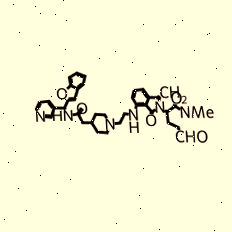 C=C1c2cccc(NCCN3CCC(CC(=O)NC(c4cccnc4)c4cc5ccccc5o4)CC3)c2C(=O)N1C(CCC=O)C(=O)NC